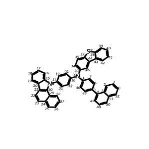 c1ccc2c(-c3ccc(N(c4ccc(-n5c6ccccc6c6ccc7ccccc7c65)cc4)c4ccc5sc6ccccc6c5c4)cc3)cccc2c1